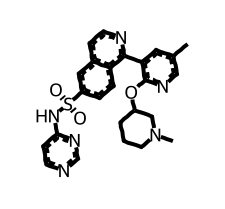 Cc1cnc(OC2CCCN(C)C2)c(-c2nccc3cc(S(=O)(=O)Nc4ccncn4)ccc23)c1